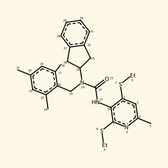 CCSc1cc(C)nc(SCC)c1NC(=O)N(Cc1c(C)cc(C)cc1C)C1Cc2ccccc2C1